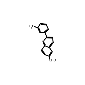 O=Cc1ccc2nc(-c3cccc(C(F)(F)F)c3)ccc2c1